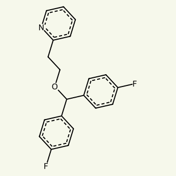 Fc1ccc(C(OCCc2ccccn2)c2ccc(F)cc2)cc1